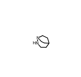 C1CC2CCN(CC2)N1